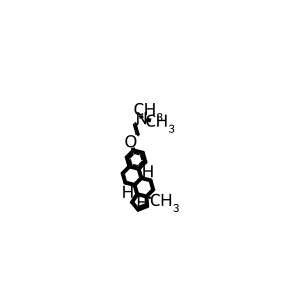 CN(C)CCOc1ccc2c(c1)CC[C@@H]1[C@@H]2CC[C@]2(C)C=CC[C@@H]12